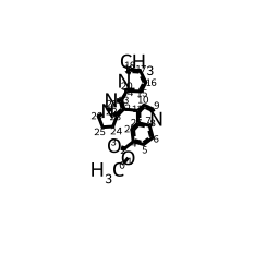 COC(=O)c1ccc2nccc(-c3c(-c4cccc(C)n4)nn4c3CCC4)c2c1